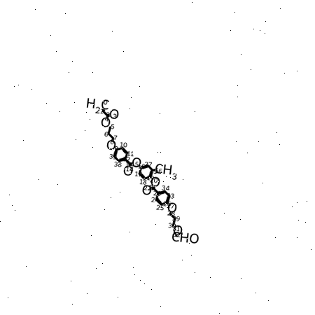 C=CC(=O)OCCCOc1ccc(C(=O)Oc2ccc(OC(=O)c3ccc(OCCCOC=O)cc3)c(C)c2)cc1